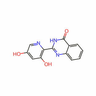 O=c1[nH]c(-c2ncc(O)cc2O)nc2ccccc12